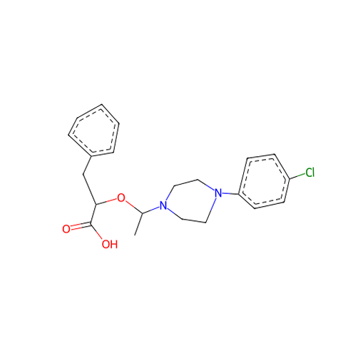 CC(OC(Cc1ccccc1)C(=O)O)N1CCN(c2ccc(Cl)cc2)CC1